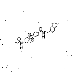 C=CC(=O)NC1CCN(S(=O)(=O)c2ccc(C(=O)NCCc3ccc4ccccc4c3)cc2)C(C)C1